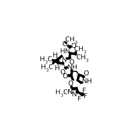 COC(=O)N[C@H](C(=O)N1C[C@H]2[C@@H]([C@H]1C(=O)N[C@@H](C[C@@H]1CCNC1=O)C(=O)COc1cc(C(F)(F)F)nn1C)C2(C)C)C(C)C